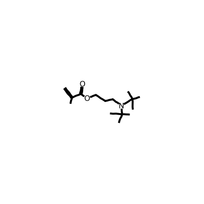 C=C(C)C(=O)OCCCN(C(C)(C)C)C(C)(C)C